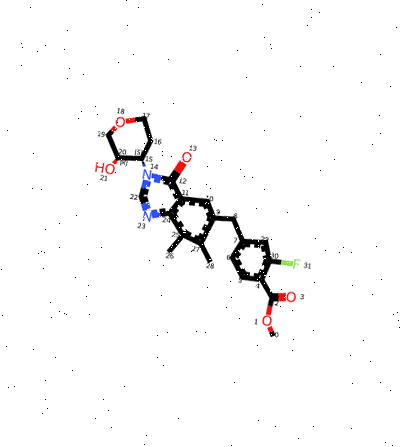 COC(=O)c1ccc(Cc2cc3c(=O)n([C@H]4CCOC[C@@H]4O)cnc3c(C)c2C)cc1F